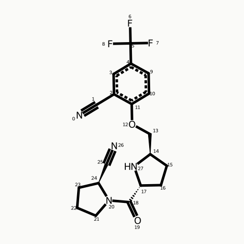 N#Cc1cc(C(F)(F)F)ccc1OC[C@H]1CC[C@H](C(=O)N2CCC[C@H]2C#N)N1